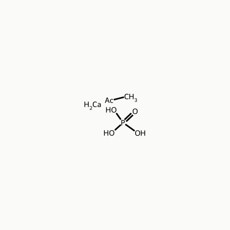 CC(C)=O.O=P(O)(O)O.[CaH2]